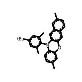 Cc1ccc2c(c1)Oc1cc3ccc(C)cc3cc1N2c1c(C)cc(C(C)(C)C)cc1C